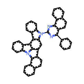 c1ccc(-c2nc(-n3c4ccccc4c4c5c6ccccc6n6c7c8ccccc8ccc7c(cc43)c56)nc3c2ccc2ccccc23)cc1